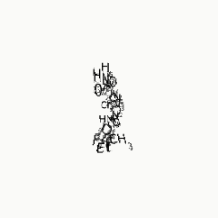 CCC(F)(F)c1ccc(NC(=O)N2CCC(F)(c3ncc(C4=C(CO)NCO4)cc3Cl)CC2)cc1C